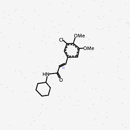 COc1cc(/C=C/C(=O)NC2CCCCC2)cc(Cl)c1OC